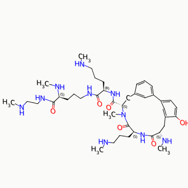 CNCCC[C@@H]1NC(=O)[C@@H](NC)Cc2cc(ccc2O)-c2cccc(c2)C[C@@H](C(=O)N[C@H](CCCNC)C(=O)NCCC[C@H](NC)C(=O)NCCNC)N(C)C1=O